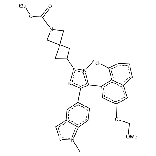 COCOc1cc(-c2c(-c3ccc4c(cnn4C)c3)nc(C3CC4(C3)CN(C(=O)OC(C)(C)C)C4)n2C)c2c(Cl)cccc2c1